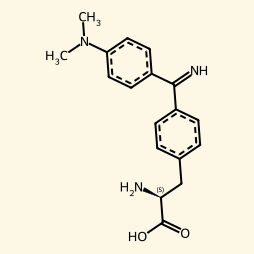 CN(C)c1ccc(C(=N)c2ccc(C[C@H](N)C(=O)O)cc2)cc1